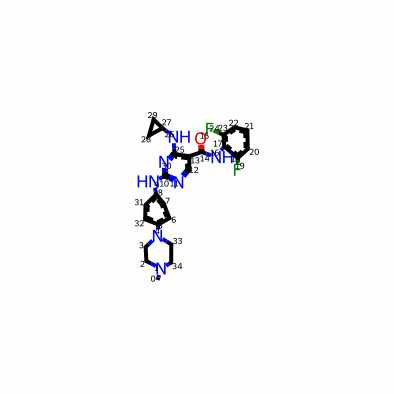 CN1CCN(c2ccc(Nc3ncc(C(=O)Nc4c(F)cccc4F)c(NC4CC4)n3)cc2)CC1